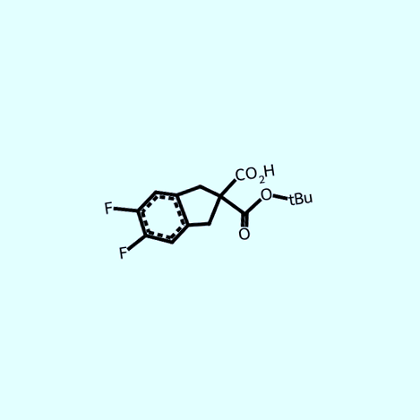 CC(C)(C)OC(=O)C1(C(=O)O)Cc2cc(F)c(F)cc2C1